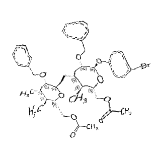 CC(=O)OC[C@H]1O[C@H](C[C@H]2[C@H](C)[C@@H](COC(C)=O)O[C@H](Oc3ccc(Br)cc3)[C@H]2OCc2ccccc2)[C@@H](OCc2ccccc2)[C@@H](C)[C@@H]1C